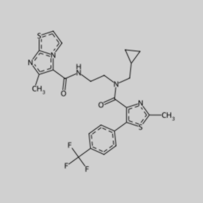 Cc1nc(C(=O)N(CCNC(=O)c2c(C)nc3sccn23)CC2CC2)c(-c2ccc(C(F)(F)F)cc2)s1